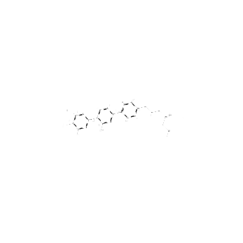 CCCC(C)CCCc1ccc(-c2ccc(-c3cc(F)c(F)c(F)c3)c(F)c2)cc1